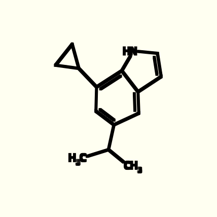 CC(C)c1cc(C2CC2)c2[nH]ccc2c1